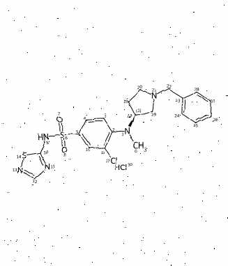 CN(c1ccc(S(=O)(=O)Nc2ncns2)cc1Cl)[C@H]1CCN(Cc2ccccc2)C1.Cl